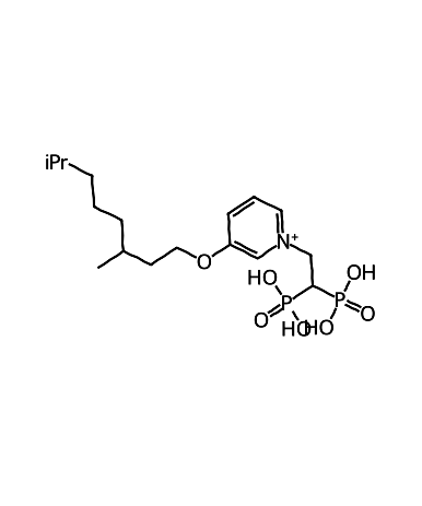 CC(C)CCCC(C)CCOc1ccc[n+](CC(P(=O)(O)O)P(=O)(O)O)c1